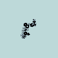 COc1c(NC(=O)N[C@H]2CC[C@@H](Oc3ccc4nnc(C(C)(C)N(C)C)n4c3)c3ccccc32)cc(C(C)(C)C)cc1NS(C)(=O)=O